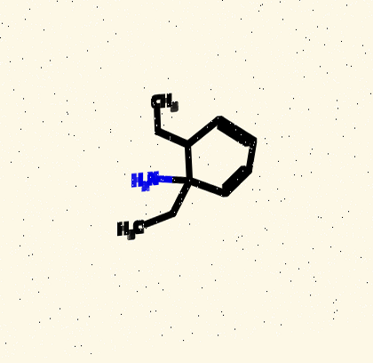 CCC1C=CC=CC1(N)CC